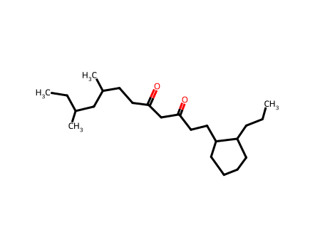 CCCC1CCCCC1CCC(=O)CC(=O)CCC(C)CC(C)CC